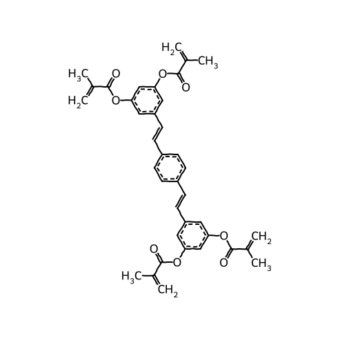 C=C(C)C(=O)Oc1cc(/C=C/c2ccc(/C=C/c3cc(OC(=O)C(=C)C)cc(OC(=O)C(=C)C)c3)cc2)cc(OC(=O)C(=C)C)c1